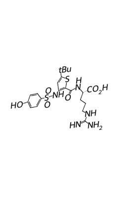 CC(C)(C)c1cc(NS(=O)(=O)c2ccc(O)cc2)c(C(=O)N[C@@H](CCCNC(=N)N)C(=O)O)s1